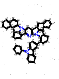 c1ccc(-n2c3ccccc3c3cc(-c4cccc5c6c7ccccc7cc7c8cc9c(nc8n(c45)c76)c4cccc5c6c7ccccc7ccc6n9c45)ccc32)cc1